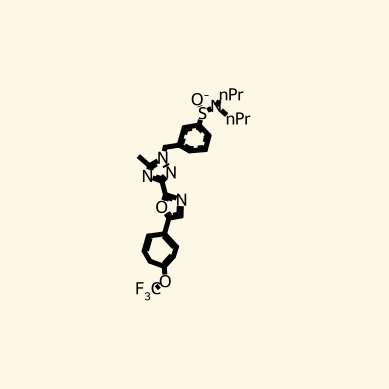 CCCN(CCC)[S+]([O-])c1cccc(Cn2nc(-c3ncc(C4=CC=C(OC(F)(F)F)CC=C4)o3)nc2C)c1